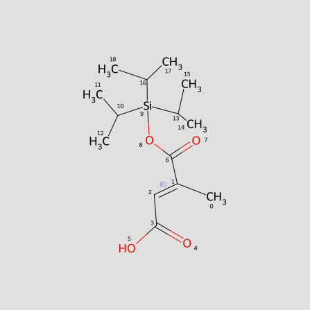 C/C(=C\C(=O)O)C(=O)O[Si](C(C)C)(C(C)C)C(C)C